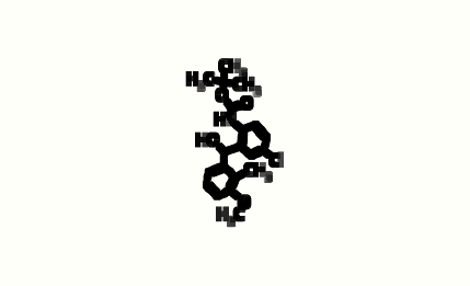 COc1cccc(C(O)c2cc(Cl)ccc2NC(=O)OC(C)(C)C)c1C